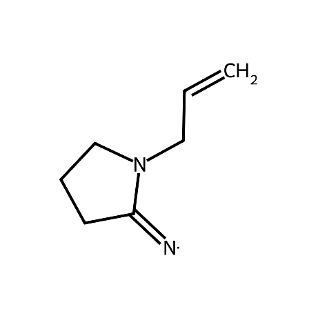 C=CCN1CCCC1=[N]